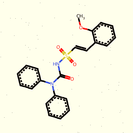 COc1ccccc1C=CS(=O)(=O)NC(=O)N(c1ccccc1)c1ccccc1